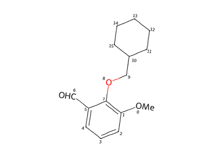 COc1cccc(C=O)c1OCC1CCCCC1